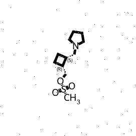 CS(=O)(=O)OC[C@@H]1CC[C@@H]1CN1CCCC1